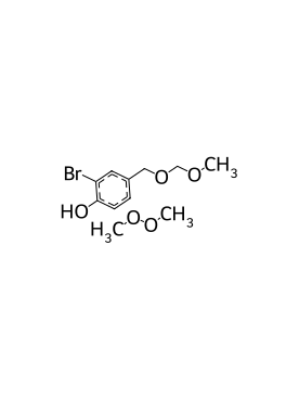 COCOCc1ccc(O)c(Br)c1.COOC